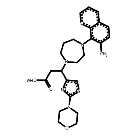 COC(=O)CC(c1csc(N2CCOCC2)n1)N1CCCN(c2c(C)ccc3cccnc23)CC1